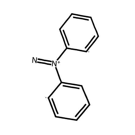 [N-]=[N+](c1[c]cccc1)c1[c]cccc1